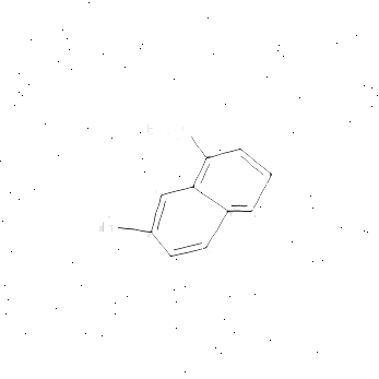 CCOC(=O)c1cccc2ccc(C(C)C)cc12